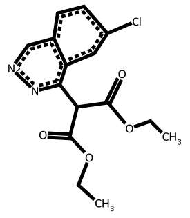 CCOC(=O)C(C(=O)OCC)c1nncc2ccc(Cl)cc12